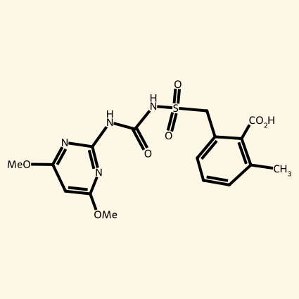 COc1cc(OC)nc(NC(=O)NS(=O)(=O)Cc2cccc(C)c2C(=O)O)n1